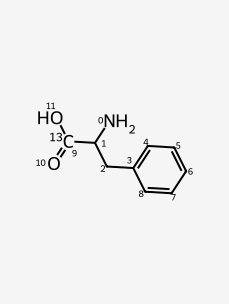 NC(Cc1ccccc1)[13C](=O)O